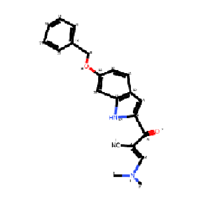 CN(C)/C=C(\C#N)C(=O)c1cc2ccc(OCc3ccccc3)cc2[nH]1